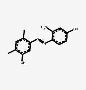 Cc1cc(C)c(/N=N/c2ccc(O)cc2N)cc1O